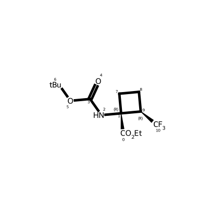 CCOC(=O)[C@@]1(NC(=O)OC(C)(C)C)CC[C@H]1C(F)(F)F